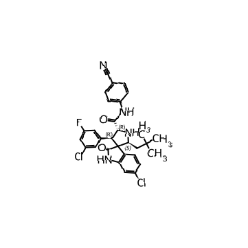 CC(C)(C)C[C@@H]1N[C@@H](C(=O)Nc2ccc(C#N)cc2)[C@H](c2cc(F)cc(Cl)c2)C12C(=O)Nc1cc(Cl)ccc12